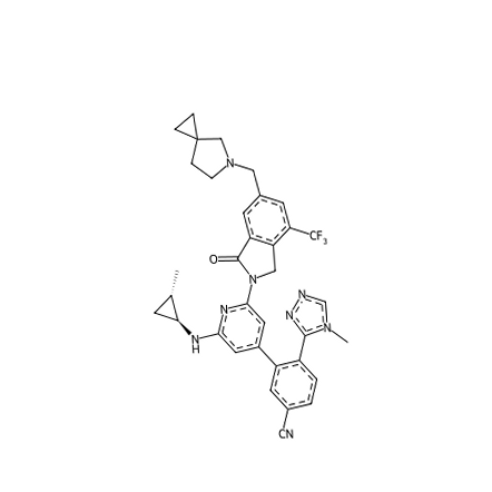 C[C@H]1C[C@@H]1Nc1cc(-c2cc(C#N)ccc2-c2nncn2C)cc(N2Cc3c(cc(CN4CCC5(CC5)C4)cc3C(F)(F)F)C2=O)n1